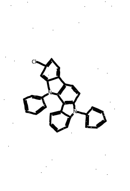 Clc1ccc2c3ccc4c(c5ccccc5n4-c4ccccc4)c3n(-c3ccccc3)c2c1